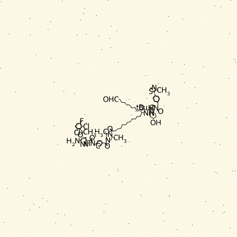 Cc1ncsc1-c1ccc(CNC(=O)[C@@H]2C[C@@H](O)CN2C(=O)[C@@H](NC(CCCCCCCCCCCC(=O)N2[C@H](C)CN(C(=O)c3ccc(NC(=O)c4cc(O[C@H](C)c5c(Cl)ccc(F)c5Cl)c(N)nn4)cc3)C[C@@H]2C)C(=O)CCCCCCCCC=O)C(C)(C)C)cc1